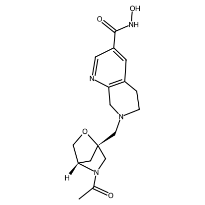 CC(=O)N1C[C@]2(CN3CCc4cc(C(=O)NO)cnc4C3)C[C@H]1CO2